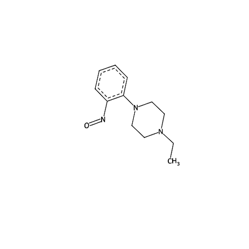 CCN1CCN(c2ccccc2N=O)CC1